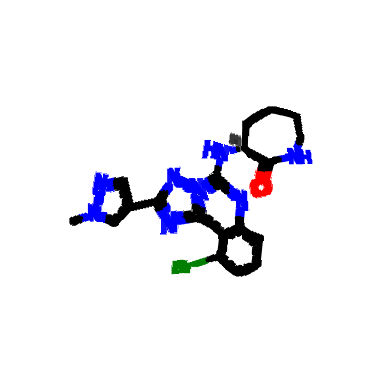 Cn1cc(-c2nc3c4c(Br)cccc4nc(N[C@@H]4CCCCNC4=O)n3n2)cn1